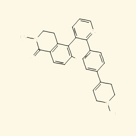 CN1CC=C(c2ccc(-c3ncccc3-c3c(Cl)ccc4c3CCN(N)C4=O)cc2)CC1